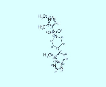 Cc1c(S(=O)(=O)N2CCC(c3ccc4ncnn4c3C)CC2)cnn1C